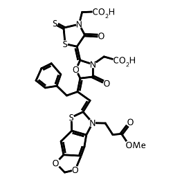 COC(=O)CCN1/C(=C/C(Cc2ccccc2)=c2/o/c(=C3\SC(=S)N(CC(=O)O)C3=O)n(CC(=O)O)c2=O)Sc2cc3c(cc21)OCO3